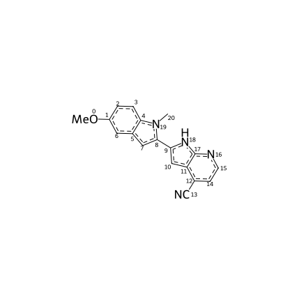 COc1ccc2c(c1)cc(-c1cc3c(C#N)ccnc3[nH]1)n2C